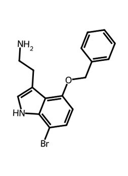 NCCc1c[nH]c2c(Br)ccc(OCc3ccccc3)c12